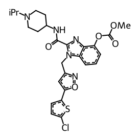 COC(=O)Oc1cccc2c1nc(C(=O)NC1CCN(C(C)C)CC1)n2Cc1cc(-c2ccc(Cl)s2)on1